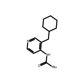 CC(C)(C)C(=O)Nc1ccncc1CC1CCCCC1